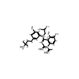 CC(=N)n1c(=N)nc(N(CC(F)F)c2cc(F)cc(CCC(C)(C)O)c2)c2c(F)c(F)ccc21